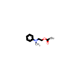 CN(CCOC(=O)C(C)(C)C)c1ccccc1